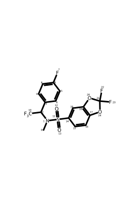 CN(C(c1ccc(F)cc1)C(F)(F)F)S(=O)(=O)c1ccc2c(c1)OC(F)(F)O2